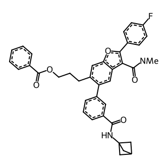 CNC(=O)c1c(-c2ccc(F)cc2)oc2cc(CCCOC(=O)c3ccccc3)c(-c3cccc(C(=O)NC45CC(C4)C5)c3)cc12